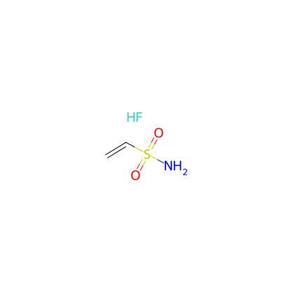 C=CS(N)(=O)=O.F